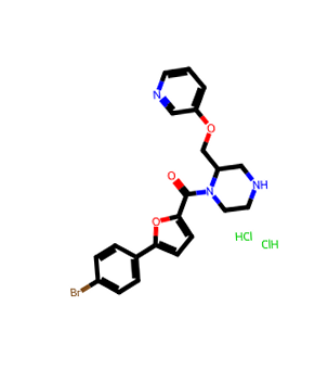 Cl.Cl.O=C(c1ccc(-c2ccc(Br)cc2)o1)N1CCNCC1COc1cccnc1